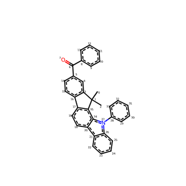 CC1(C)c2cc(C(=O)c3ccccc3)ccc2-c2ccc3c4ccccc4n(-c4ccccc4)c3c21